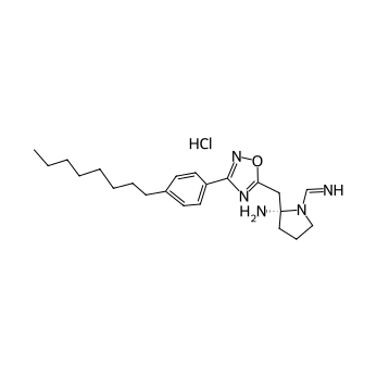 CCCCCCCCc1ccc(-c2noc(C[C@]3(N)CCCN3C=N)n2)cc1.Cl